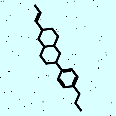 CC=CC1CCC2CC(c3ccc(CCC)cc3)CCC2C1